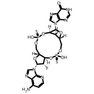 Nc1ccnc2c1ncn2[C@@H]1O[C@@H]2COP(O)(=S)O[C@@H]3[C@@H](F)[C@@H](COP(O)(=S)O[C@H]2[C@@H]1F)O[C@H]3n1cnc2c(=O)[nH]cnc21